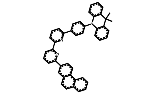 CC1(C)c2ccccc2N(c2ccc(-c3cccc(-c4cccc(-c5ccc6c(ccc7ccccc76)c5)n4)n3)cc2)c2ccccc21